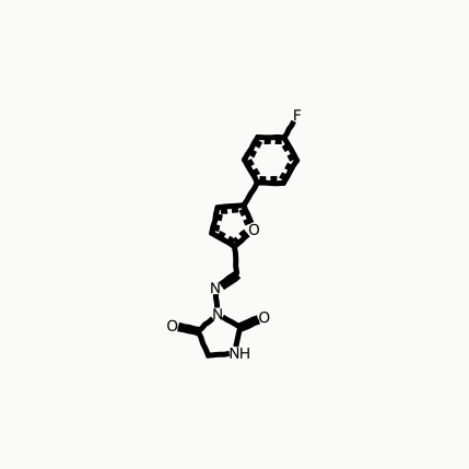 O=C1CNC(=O)N1N=Cc1ccc(-c2ccc(F)cc2)o1